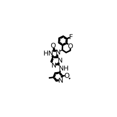 COc1ncc(C)cc1Nc1ncc2[nH]c(=O)n([C@@H]3CCOc4c(F)cccc43)c2n1